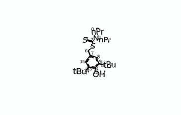 CCCN(CCC)C(=S)SCc1cc(C(C)(C)C)c(O)c(C(C)(C)C)c1